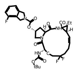 CCOC(=O)[C@@]12C[C@H]1/C=C\CCC(F)(F)CC[C@H](NC(=O)OC(C)(C)C)C(=O)N1C[C@H](OC(=O)N3Cc4cccc(F)c4C3)C[C@H]1C(=O)N2